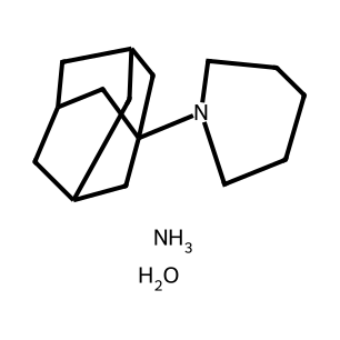 C1CCN(C23CC4CC(CC(C4)C2)C3)CC1.N.O